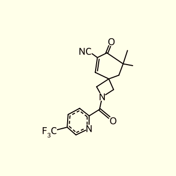 CC1(C)CC2(C=C(C#N)C1=O)CN(C(=O)c1ccc(C(F)(F)F)cn1)C2